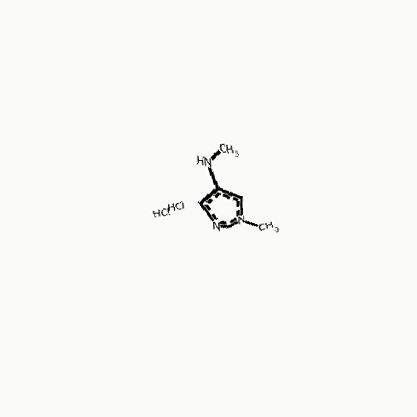 CNc1cnn(C)c1.Cl.Cl